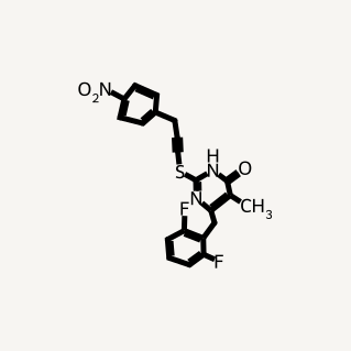 Cc1c(Cc2c(F)cccc2F)nc(SC#CCc2ccc([N+](=O)[O-])cc2)[nH]c1=O